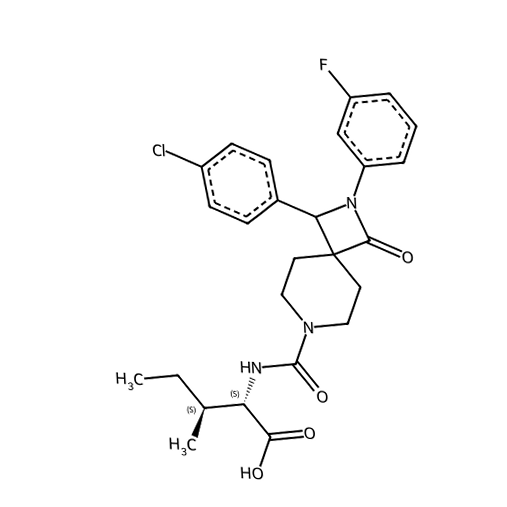 CC[C@H](C)[C@H](NC(=O)N1CCC2(CC1)C(=O)N(c1cccc(F)c1)C2c1ccc(Cl)cc1)C(=O)O